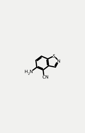 N#Cc1c(N)ccc2sncc12